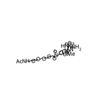 CCCCNc1nc(N)nc2cnn(Cc3ccc(CN(C(=O)CCOCCOCCOCCOCCNC(C)=O)C4CCC4)cc3OC)c12